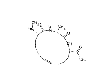 CNC1CCCC=CCCCC(C(C)=O)NC(=O)C(C)NC1=O